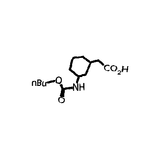 CCCCOC(=O)NC1CCCC(CC(=O)O)C1